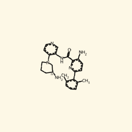 Cc1cccc(C)c1-c1ccc(N)c(C(=O)Nc2cnccc2N2CCC[C@H](N)C2)n1